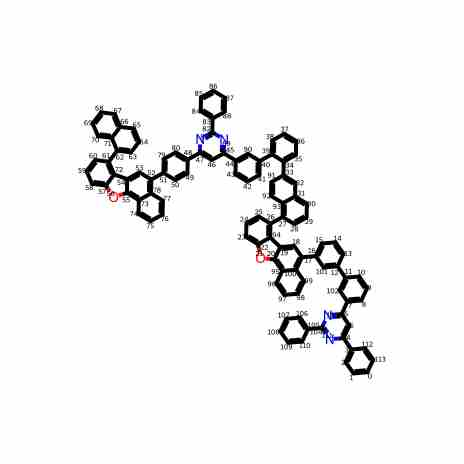 c1ccc(-c2cc(-c3cccc(-c4cccc(-c5cc6c(oc7cccc(-c8cccc9cc(-c%10ccccc%10-c%10cccc(-c%11cc(-c%12ccc(-c%13cc%14c(oc%15cccc(-c%16cccc%17ccccc%16%17)c%15%14)c%14ccccc%13%14)cc%12)nc(-c%12ccccc%12)n%11)c%10)ccc89)c76)c6ccccc56)c4)c3)nc(-c3ccccc3)n2)cc1